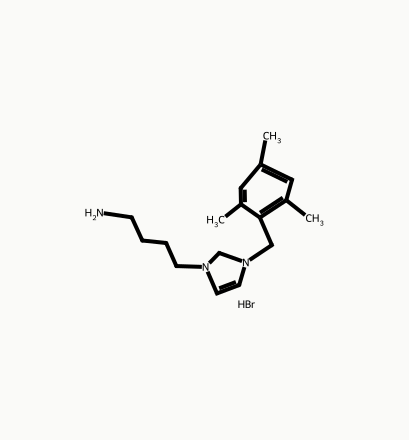 Br.Cc1cc(C)c(CN2C=CN(CCCCN)C2)c(C)c1